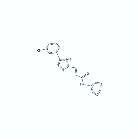 O=C(C=Cc1nnc(-c2cccc(Cl)c2)[nH]1)Nc1ccccc1